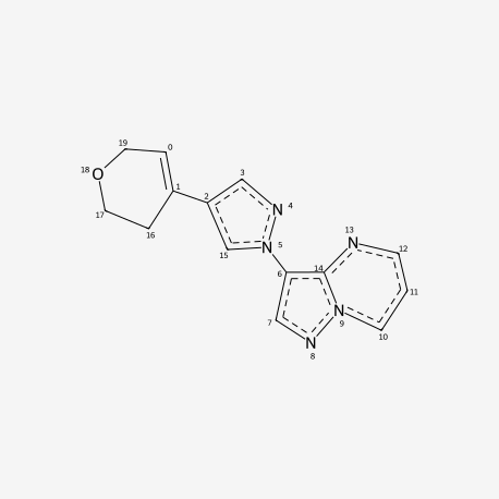 C1=C(c2cnn(-c3cnn4cccnc34)c2)CCOC1